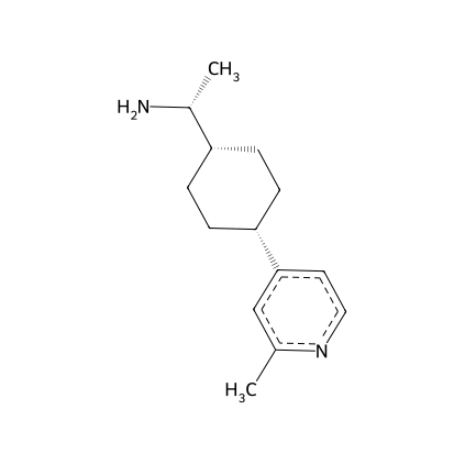 Cc1cc([C@H]2CC[C@@H]([C@@H](C)N)CC2)ccn1